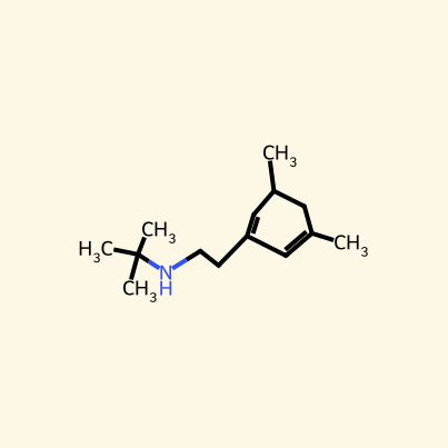 CC1=CC(CCNC(C)(C)C)=CC(C)C1